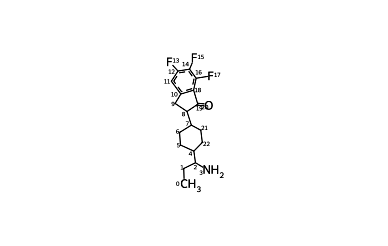 CCC(N)C1CCC(C2Cc3cc(F)c(F)c(F)c3C2=O)CC1